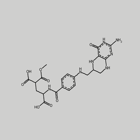 COC(=O)C(CC(NC(=O)c1ccc(NCC2CNc3nc(N)[nH]c(=O)c3N2)cc1)C(=O)O)C(=O)O